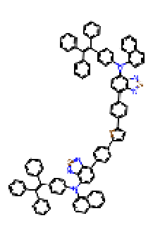 c1ccc(C(=C(c2ccccc2)c2ccc(N(c3ccc(-c4ccc(-c5ccc(-c6ccc(-c7ccc(N(c8ccc(C(=C(c9ccccc9)c9ccccc9)c9ccccc9)cc8)c8cccc9ccccc89)c8c7N=S=N8)cc6)s5)cc4)c4c3N=S=N4)c3cccc4ccccc34)cc2)c2ccccc2)cc1